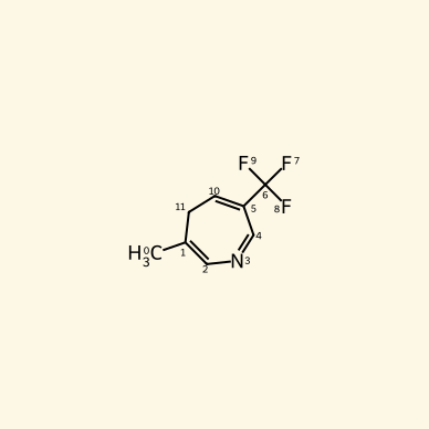 CC1=CN=CC(C(F)(F)F)=CC1